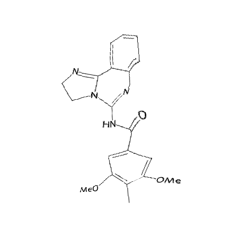 COc1cc(C(=O)NC2=Nc3ccccc3C3=NCCN23)cc(OC)c1C